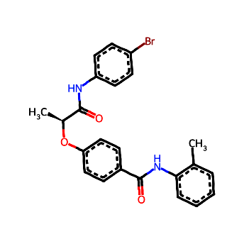 Cc1ccccc1NC(=O)c1ccc(O[C@@H](C)C(=O)Nc2ccc(Br)cc2)cc1